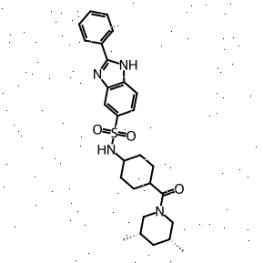 C[C@@H]1C[C@H](C)CN(C(=O)C2CCC(NS(=O)(=O)c3ccc4[nH]c(-c5ccccc5)nc4c3)CC2)C1